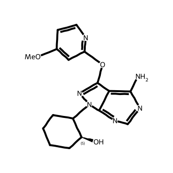 COc1ccnc(Oc2nn(C3CCCC[C@@H]3O)c3ncnc(N)c23)c1